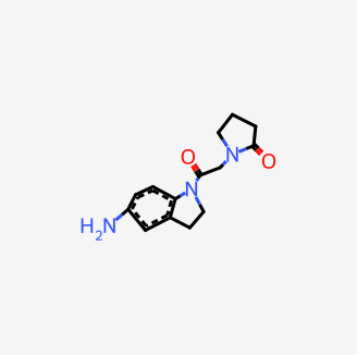 Nc1ccc2c(c1)CCN2C(=O)CN1CCCC1=O